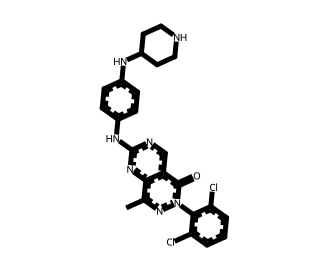 Cc1nn(-c2c(Cl)cccc2Cl)c(=O)c2cnc(Nc3ccc(NC4CCNCC4)cc3)nc12